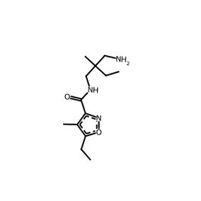 CCc1onc(C(=O)NCC(C)(CC)CN)c1C